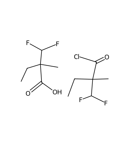 CCC(C)(C(=O)Cl)C(F)F.CCC(C)(C(=O)O)C(F)F